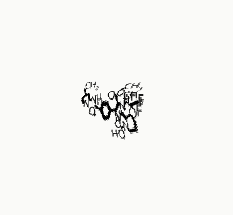 CCOC(=O)c1c(-c2ccc(C(=O)Nc3cc(CC)ccn3)cc2)nc(C2CCCCN2C(=O)O)n1N(C)C(=O)C(F)(F)F